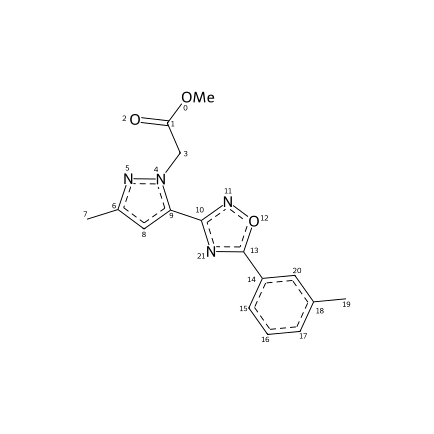 COC(=O)Cn1nc(C)cc1-c1noc(-c2cccc(C)c2)n1